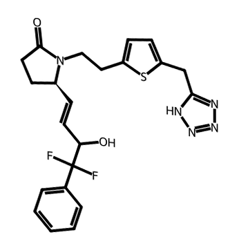 O=C1CC[C@H](/C=C/C(O)C(F)(F)c2ccccc2)N1CCc1ccc(Cc2nnn[nH]2)s1